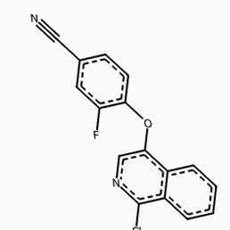 N#Cc1ccc(Oc2cnc(Cl)c3ccccc23)c(F)c1